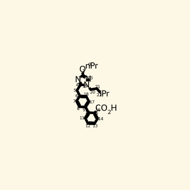 CCCOc1nc(Cc2ccc(-c3ccccc3C(=O)O)cc2)n(CCC(C)C)n1